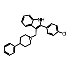 Clc1ccc(-c2[nH]c3ccccc3c2CN2CCC(c3ccccc3)CC2)cc1